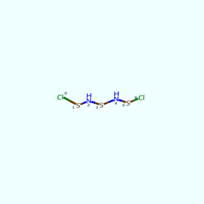 ClSNSNSCl